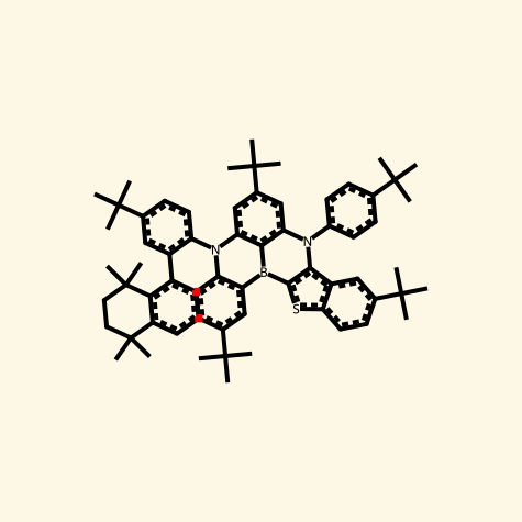 CC(C)(C)c1ccc(N2c3cc(C(C)(C)C)cc4c3B(c3cc(C(C)(C)C)ccc3N4c3ccc(C(C)(C)C)cc3-c3cccc4c3C(C)(C)CCC4(C)C)c3sc4ccc(C(C)(C)C)cc4c32)cc1